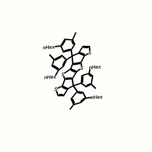 CCCCCCc1cc(C)cc(C2(c3cc(C)cc(CCCCCC)c3)c3ccsc3-c3sc4c5c(sc4c32)-c2sccc2C5(c2cc(C)cc(CCCCCC)c2)c2cc(C)cc(CCCCCC)c2)c1